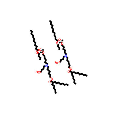 CCCCCCCCCCCC(OCCCC)O[Si](C)(C)OCCCCCCN(CCCCO)CCCCCCOC(=O)C(CCCCCC)CCCCCCCC.CCCCCCCCCCCC(OCCCC)O[Si](C)(C)OCCCCCCN(CCCCO)CCCCCCOC(=O)C(CCCCCC)CCCCCCCC